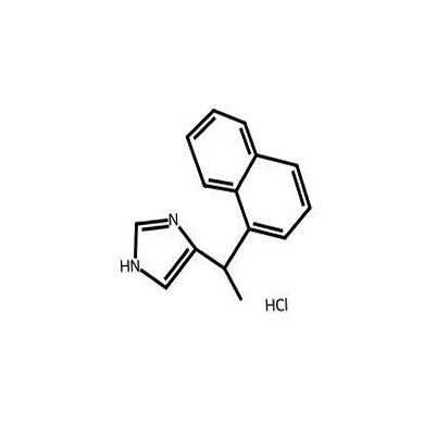 CC(c1c[nH]cn1)c1cccc2ccccc12.Cl